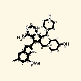 COc1cc(C)cc2cc(-c3c(CN4CCC(O)CC4)c(CN4CCNCC4)n4ncnc(N)c34)sc12